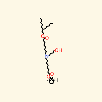 CCCCCC(CCCCC)CCOC(=O)CCCCCCCN(CCCCO)CCCCCCCC(=O)O[C@@H]1C[C@@H]2CC[C@@]1(C)C2(C)C